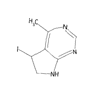 Cc1ncnc2c1C(I)CN2